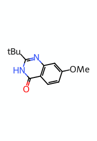 COc1ccc2c(=O)[nH]c(C(C)(C)C)nc2c1